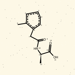 Cc1ccccc1CC(=O)N[C@H](C)C(=O)O